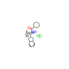 C[SiH](C)[Ti+2]([NH]C(=O)C1CCCCC1)[CH]1CC2C=CC=CC2C1.[Cl-].[Cl-]